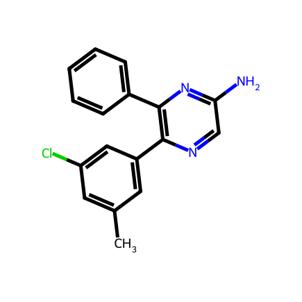 Cc1cc(Cl)cc(-c2ncc(N)nc2-c2ccccc2)c1